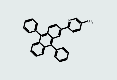 Cc1ccc(-c2ccc3c(-c4ccccc4)c4ccccc4c(-c4ccccc4)c3c2)nc1